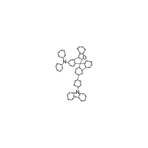 c1ccc(N(c2ccccc2)c2ccc3c(c2)-c2c(oc4ccccc24)C32c3ccccc3-c3cc(-c4ccc(-n5c6ccccc6c6ccccc65)cc4)ccc32)cc1